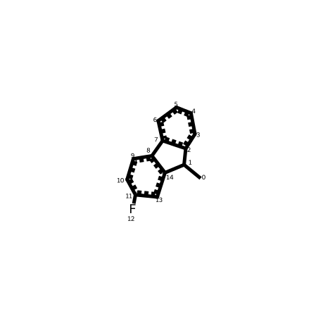 CC1c2ccccc2-c2ccc(F)cc21